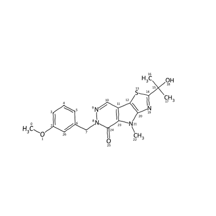 COc1cccc(Cn2ncc3c4sc(C(C)(C)O)nc4n(C)c3c2=O)c1